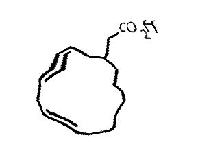 O=C(O)C1C=CC=CCC1